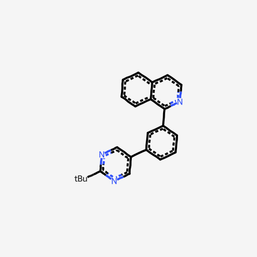 CC(C)(C)c1ncc(-c2cccc(-c3nccc4ccccc34)c2)cn1